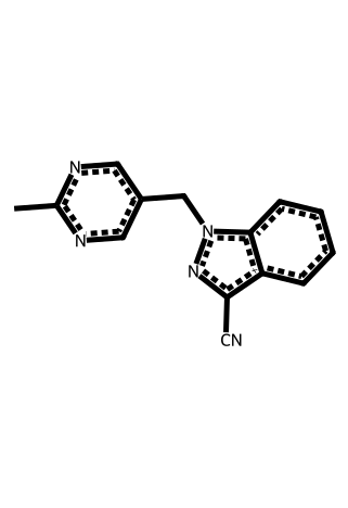 Cc1ncc(Cn2nc(C#N)c3ccccc32)cn1